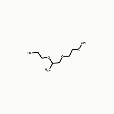 CCCOCCOCC(C)OCCO